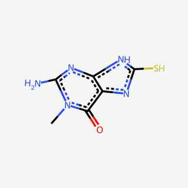 Cn1c(N)nc2[nH]c(S)nc2c1=O